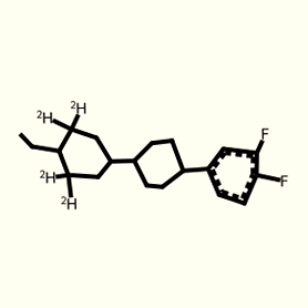 [2H]C1([2H])CC(C2CCC(c3ccc(F)c(F)c3)CC2)CC([2H])([2H])C1CC